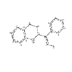 CC=C(c1ccccc1)C1CCc2ccccc2O1